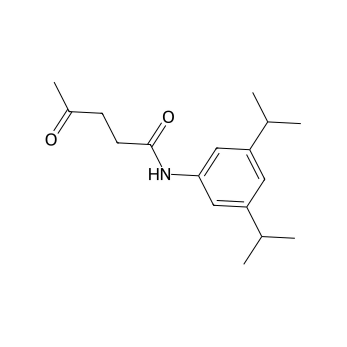 CC(=O)CCC(=O)Nc1cc(C(C)C)cc(C(C)C)c1